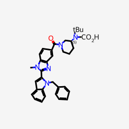 Cn1c(-c2cc3ccccc3n2Cc2ccccc2)nc2cc(C(=O)N3CCC[C@H](N(C(=O)O)C(C)(C)C)C3)ccc21